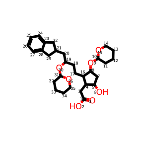 O=C(O)CC1C(O)CC(OC2CCCCO2)C1CCC(CC1Cc2ccccc2C1)OC1CCCCO1